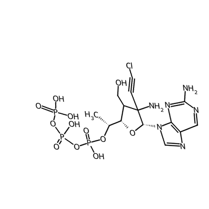 C[C@@H](OP(=O)(O)OP(=O)(O)OP(=O)(O)O)[C@H]1O[C@@H](n2cnc3cnc(N)nc32)C(N)(C#CCl)C1CO